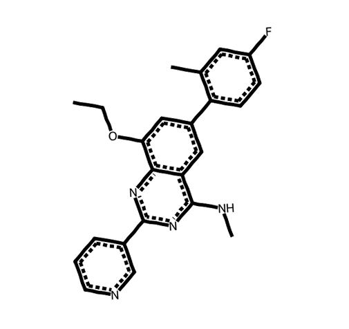 CCOc1cc(-c2ccc(F)cc2C)cc2c(NC)nc(-c3cccnc3)nc12